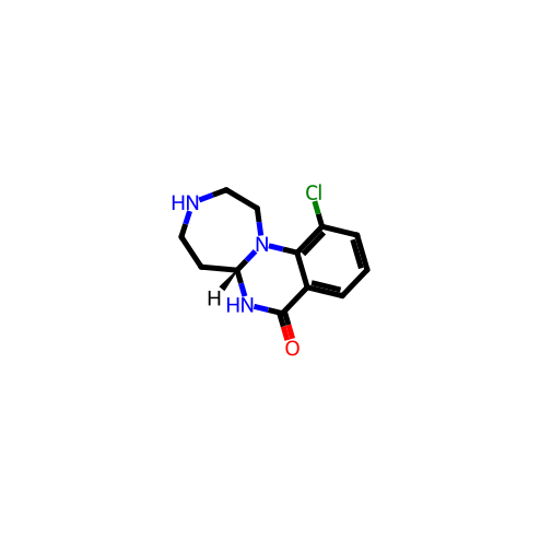 O=C1N[C@@H]2CCNCCN2c2c(Cl)cccc21